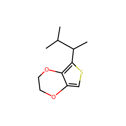 CC(C)C(C)c1scc2c1OCCO2